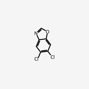 Clc1cc2ncoc2cc1Cl